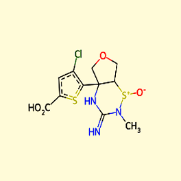 CN1C(=N)NC2(c3sc(C(=O)O)cc3Cl)COCC2[S+]1[O-]